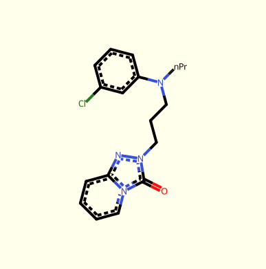 CCCN(CCCn1nc2ccccn2c1=O)c1cccc(Cl)c1